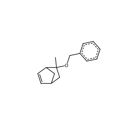 CC1(OCc2ccccc2)CC2C=CC1C2